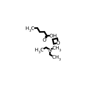 C1COC1.CCCCC(=O)O.CCN(C)CC